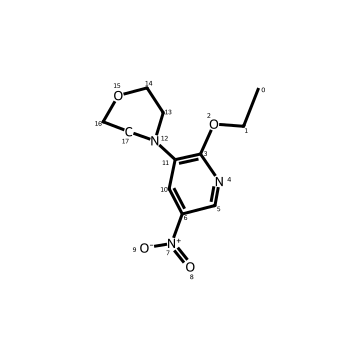 CCOc1ncc([N+](=O)[O-])cc1N1CCOCC1